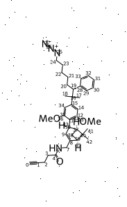 C#CCCC(=O)NCC1=C[C@H](c2c(OC)cc(C(C)(C)C(CCCCCN=[N+]=[N-])c3ccccc3)cc2OC)[C@@H]2C[C@H]1C2(C)C